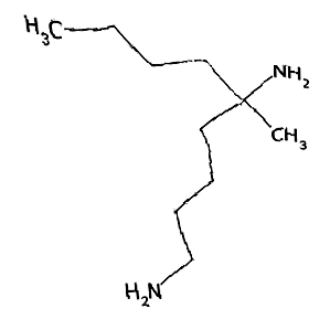 CCCCC(C)(N)CCCCN